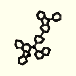 c1ccc(-n2c3ccccc3c3cc(-c4ccc(N(c5cccc6ccccc56)c5cc6ccccc6c6c5oc5ccccc56)cc4)ccc32)cc1